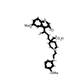 COc1cccc(SCCN2CCC(CCC(F)c3c(Cl)cnc4ccc(OC)cc34)(CC(=O)O)CC2)c1